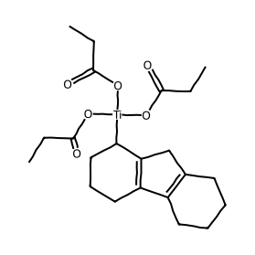 CCC(=O)[O][Ti]([O]C(=O)CC)([O]C(=O)CC)[CH]1CCCC2=C1CC1=C2CCCC1